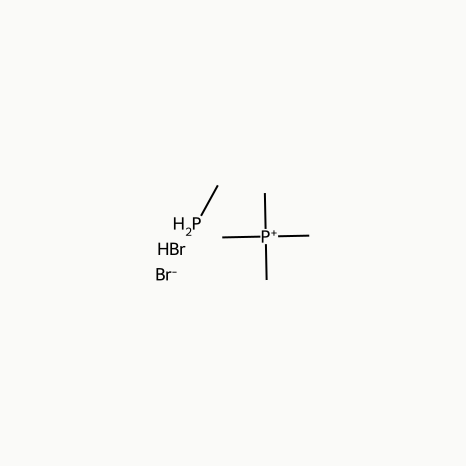 Br.CP.C[P+](C)(C)C.[Br-]